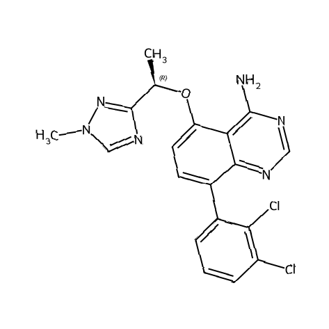 C[C@@H](Oc1ccc(-c2cccc(Cl)c2Cl)c2ncnc(N)c12)c1ncn(C)n1